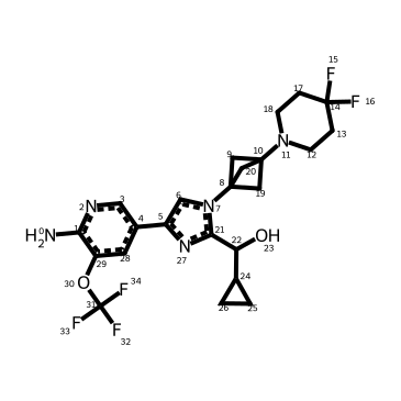 Nc1ncc(-c2cn(C34CC(N5CCC(F)(F)CC5)(C3)C4)c(C(O)C3CC3)n2)cc1OC(F)(F)F